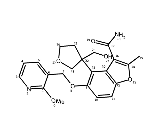 COc1ncccc1COc1ccc2oc(C)c(C(N)=O)c2c1C1(CO)CCOC1